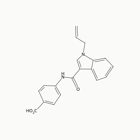 C=CCn1cc(C(=O)Nc2ccc(C(=O)O)cc2)c2ccccc21